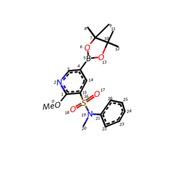 COc1ncc(B2OC(C)(C)C(C)(C)O2)cc1S(=O)(=O)N(C)c1ccccc1